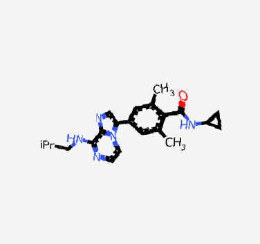 Cc1cc(-c2cnc3c(NCC(C)C)nccn23)cc(C)c1C(=O)NC1CC1